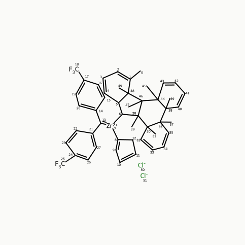 CC1=CC=CC2[CH]([Zr+2]([C]3=CC=CC3)=[C](c3ccc(C(F)(F)F)cc3)c3ccc(C(F)(F)F)cc3)C3(C)C4(C)C=CC=CC4(C)C4(C)C=CC=CC4(C)C3(C)C12C.[Cl-].[Cl-]